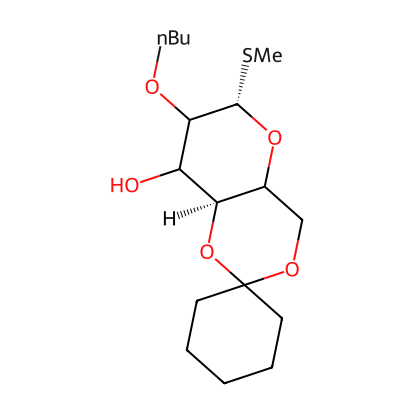 CCCCOC1C(O)[C@@H]2OC3(CCCCC3)OCC2O[C@H]1SC